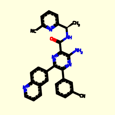 C[C@H](NC(=O)c1nc(-c2ccc3ncccc3c2)c(-c2cccc(C#N)c2)nc1N)c1cccc(C#N)n1